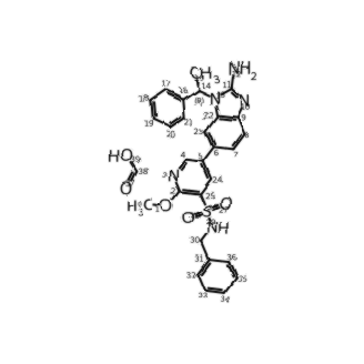 COc1ncc(-c2ccc3nc(N)n([C@H](C)c4ccccc4)c3c2)cc1S(=O)(=O)NCc1ccccc1.O=CO